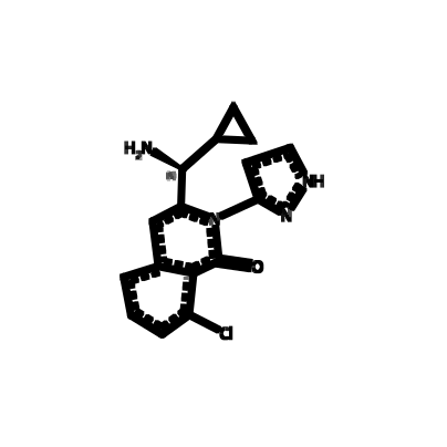 N[C@H](c1cc2cccc(Cl)c2c(=O)n1-c1cc[nH]n1)C1CC1